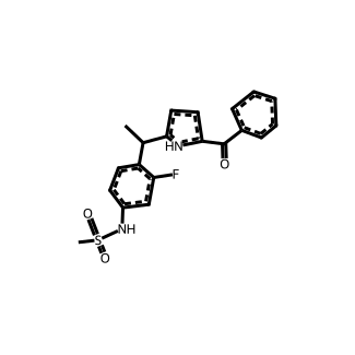 CC(c1ccc(C(=O)c2ccccc2)[nH]1)c1ccc(NS(C)(=O)=O)cc1F